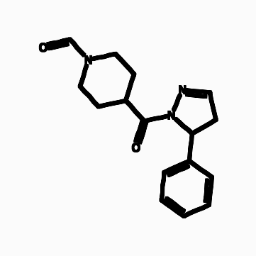 O=CN1CCC(C(=O)N2N=CCC2c2ccccc2)CC1